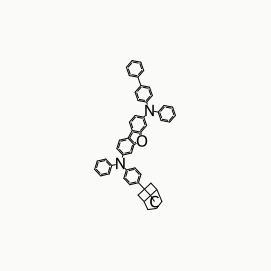 c1ccc(-c2ccc(N(c3ccccc3)c3ccc4c(c3)oc3cc(N(c5ccccc5)c5ccc(C67CC8CC9CC(C6)C87C9)cc5)ccc34)cc2)cc1